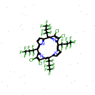 FC(F)(F)C(F)(F)C(F)(F)C1=C2C=CC(=N2)C(C(F)(F)C(F)(F)C(F)(F)F)=C2N=C(C(Cl)=C2Cl)C(C(F)(F)C(F)(F)C(F)(F)F)=C2C=CC(=N2)C(C(F)(F)C(F)(F)C(F)(F)F)=C2N=C1C(Cl)=C2Cl